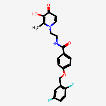 Cc1c(O)c(=O)ccn1CCNC(=O)c1ccc(OCc2cc(F)ccc2F)cc1